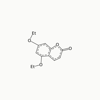 CCOc1cc(OCC)c2ccc(=O)oc2c1